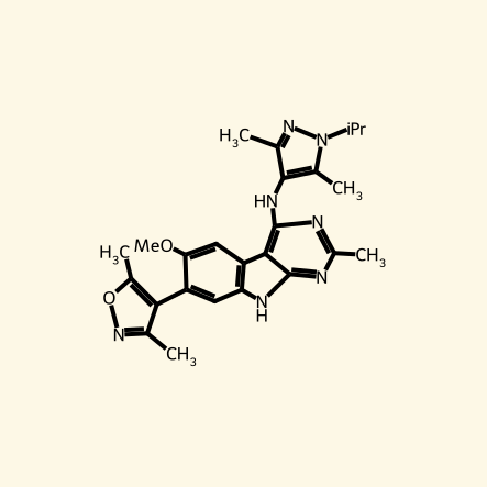 COc1cc2c(cc1-c1c(C)noc1C)[nH]c1nc(C)nc(Nc3c(C)nn(C(C)C)c3C)c12